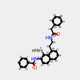 CCCCCCc1c(NC(=O)c2ccccc2)ccc2cccc(CCNC(=O)Cc3ccccc3)c12